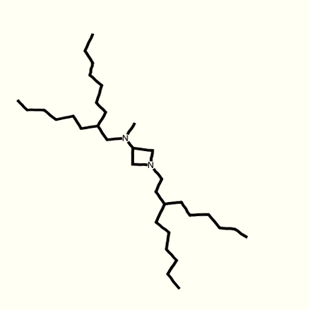 CCCCCCCC(CCCCCC)CN(C)C1CN(CCC(CCCCCC)CCCCCC)C1